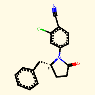 N#Cc1ccc(N2C(=O)CC[C@@H]2Cc2ccccc2)cc1Cl